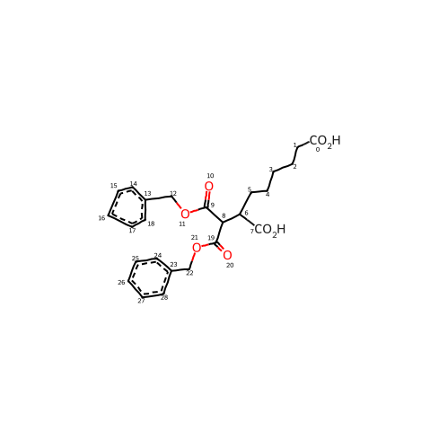 O=C(O)CCCCCC(C(=O)O)C(C(=O)OCc1ccccc1)C(=O)OCc1ccccc1